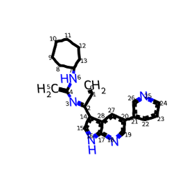 C=C/C(=N\C(=C)NC1CCCCCC1)c1c[nH]c2ncc(-c3cccnc3)cc12